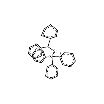 c1ccc(C([SiH2][Si](c2ccccc2)(c2ccccc2)c2ccccc2)c2ccccc2)cc1